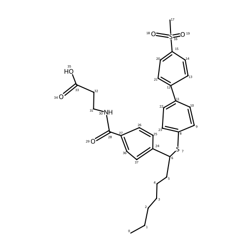 CCCCCCC(Sc1ccc(-c2ccc(S(C)(=O)=O)cc2)cc1)c1ccc(C(=O)NCCC(=O)O)cc1